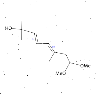 COC(C/C(C)=C/C=C/C(C)(C)O)OC